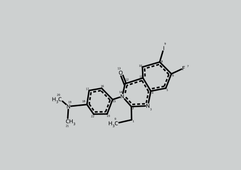 CCc1nc2cc(F)c(I)cc2c(=O)n1-c1ccc(N(C)C)cc1